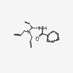 C=CCN(CC=C)C(C=C)NC(=O)c1ccccc1